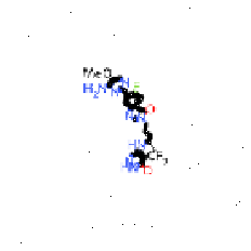 COc1cnc(-c2cc3ncn(CCC[C@H](C)Nc4cn[nH]c(=O)c4C(F)(F)F)c(=O)c3cc2F)nc1N